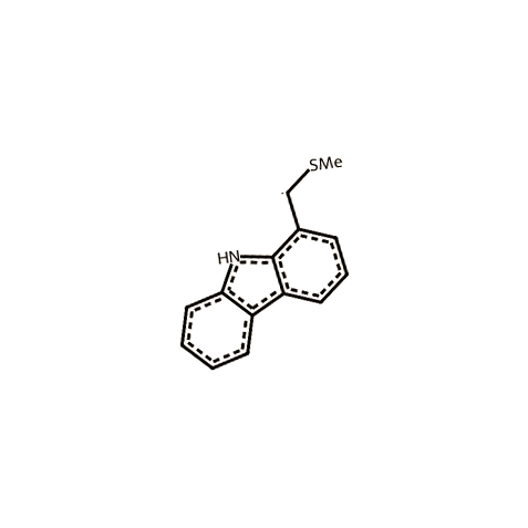 CS[CH]c1cccc2c1[nH]c1ccccc12